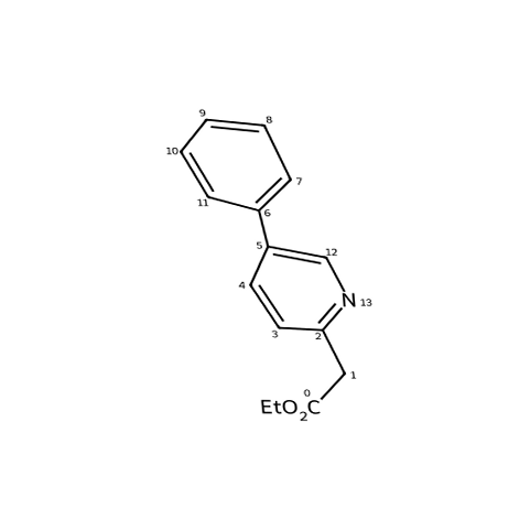 CCOC(=O)Cc1ccc(-c2ccccc2)cn1